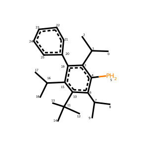 CC(C)c1c(P)c(C(C)C)c(C(C)(C)C)c(C(C)C)c1-c1ccccc1